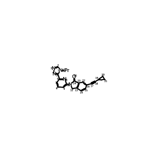 CC(C)n1cnnc1-c1cccc(N2Cc3ccc(C#CC4CC4)cc3C2=O)n1